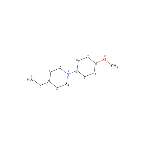 CCC1CCN(C2CCC(OC)CC2)CC1